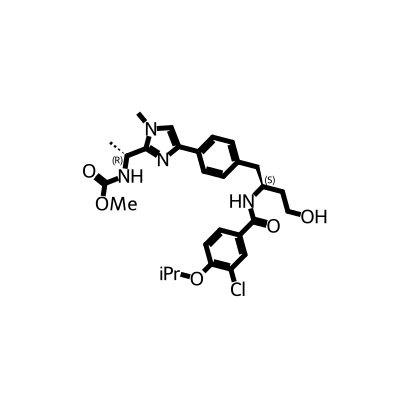 COC(=O)N[C@H](C)c1nc(-c2ccc(C[C@@H](CCO)NC(=O)c3ccc(OC(C)C)c(Cl)c3)cc2)cn1C